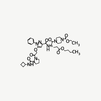 CCCCOC(=O)CC[C@H](NC(=O)c1cc(OCC(=O)N2CCC[C@H]2C(=O)NC2CCC2)n(-c2ccccc2)n1)C(=O)N1CCN(C(=O)OCC)CC1